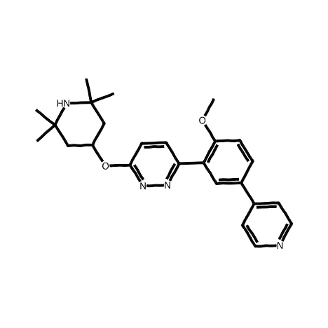 COc1ccc(-c2ccncc2)cc1-c1ccc(OC2CC(C)(C)NC(C)(C)C2)nn1